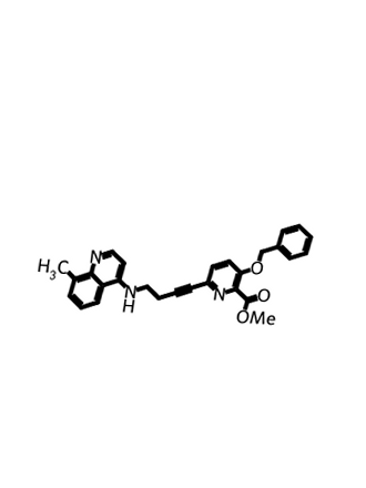 COC(=O)c1nc(C#CCCNc2ccnc3c(C)cccc23)ccc1OCc1ccccc1